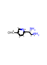 NC[C@@H](N)c1ccc(C=O)cn1